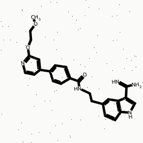 COCCOc1cc(-c2ccc(C(=O)NCCc3ccc4[nH]cc(C(=N)N)c4c3)cc2)ccn1